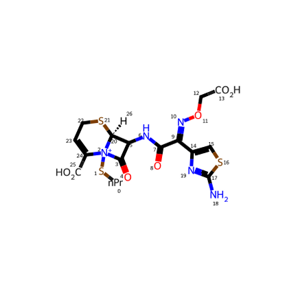 CCCS[N+]12C(=O)C(NC(=O)C(=NOCC(=O)O)c3csc(N)n3)[C@@H]1SCC=C2C(=O)O